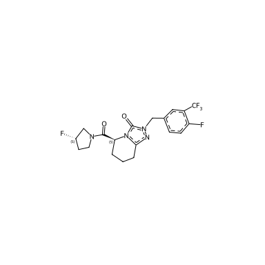 O=C([C@@H]1CCCc2nn(Cc3ccc(F)c(C(F)(F)F)c3)c(=O)n21)N1CC[C@H](F)C1